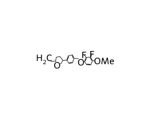 C=CC1CCC(c2ccc(COc3ccc(OC)c(F)c3F)cc2)CO1